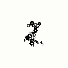 NCCNC(=O)[C@H](Cc1ccncc1)NC(=O)[C@H](Cc1ccc(F)c(F)c1)NC(=O)c1ccc2c(CN3CCCC3)cn(Cc3c(Cl)cccc3Cl)c2c1